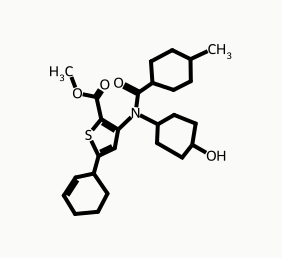 COC(=O)c1sc(C2C=CCCC2)cc1N(C(=O)C1CCC(C)CC1)C1CCC(O)CC1